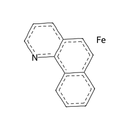 [Fe].c1ccc2c(c1)ccc1cccnc12